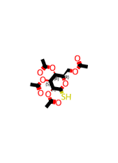 CC(=O)OC[C@H]1OC(S)[C@H](OC(C)=O)[C@@H](OC(C)=O)[C@@H]1OC(C)=O